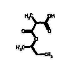 CCC(C)OC(=O)C(C)C(=O)O